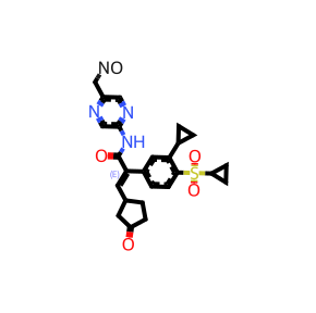 O=NCc1cnc(NC(=O)/C(=C/C2CCC(=O)C2)c2ccc(S(=O)(=O)C3CC3)c(C3CC3)c2)cn1